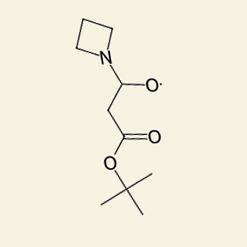 CC(C)(C)OC(=O)CC([O])N1CCC1